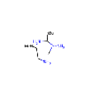 CCCCC(N)N(C)N.CNCCN